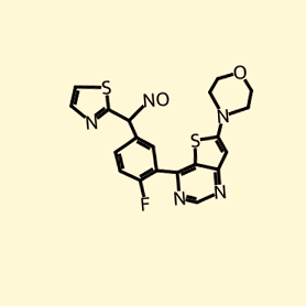 O=NC(c1ccc(F)c(-c2ncnc3cc(N4CCOCC4)sc23)c1)c1nccs1